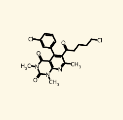 Cc1nc2c(c(-c3cccc(Cl)c3)c1C(=O)CCCCCl)c(=O)n(C)c(=O)n2C